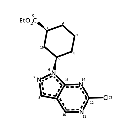 CCOC(=O)[C@H]1CCC[C@@H](n2ncc3cnc(Cl)nc32)C1